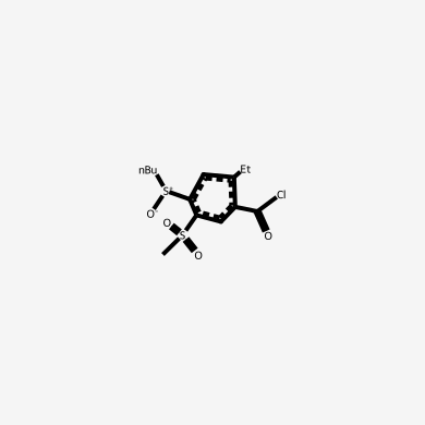 CCCC[S+]([O-])c1cc(CC)c(C(=O)Cl)cc1S(C)(=O)=O